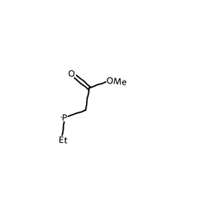 CC[P]CC(=O)OC